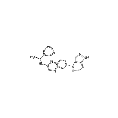 C[C@H](Nc1cnc2cc(-c3ncnc4[nH]ncc34)ccc2n1)c1ccccc1